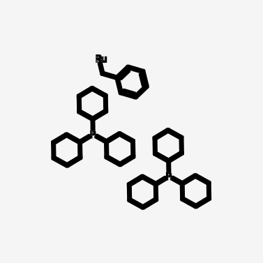 C1CCC(P(C2CCCCC2)C2CCCCC2)CC1.C1CCC(P(C2CCCCC2)C2CCCCC2)CC1.[Ru][CH2]c1ccccc1